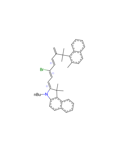 C=C(/C=C/C(Br)=C/C=C1/N(CCCC)c2ccc3ccccc3c2C1(C)C)C(C)(C)c1c(C)ccc2ccccc12